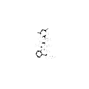 COC(=O)c1ccccc1S(=O)(=O)N(C(C)=O)C(Nc1nc(C)cc(C)n1)=[N+](OC)C(C)=O